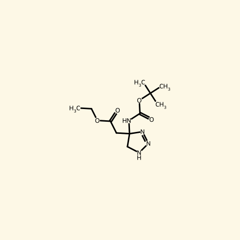 CCOC(=O)CC1(NC(=O)OC(C)(C)C)CNN=N1